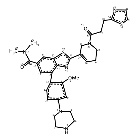 COc1cc(N2CCNCC2)ccc1-c1cc(C(=O)N(C)C)cc2sc(C3=CCCN(C(=O)CCc4nccs4)C3)nc12